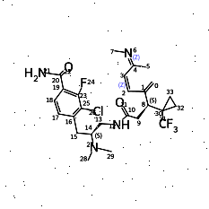 C=C(/C=C\C(C)=N/C)[C@H](CC(=O)NC[C@H](Cc1ccc(C(N)=O)c(F)c1Cl)N(C)C)C1(C(F)(F)F)CC1